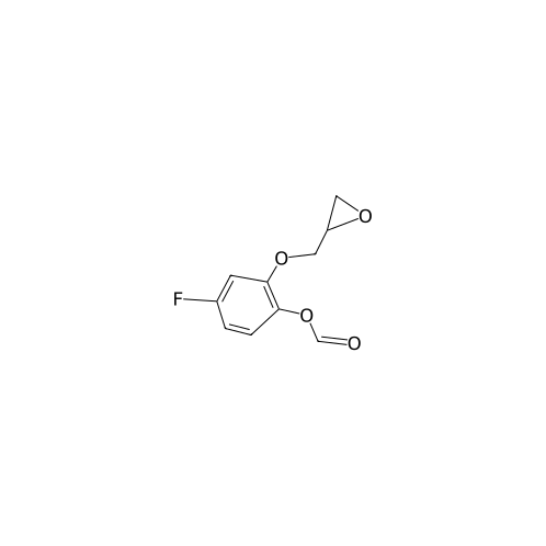 O=COc1ccc(F)cc1OCC1CO1